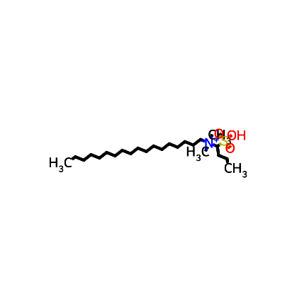 CCCCCCCCCCCCCCCCCC[N+](C)(C)C(CCC)S(=O)(=O)O